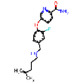 C=C(C)CCCNCc1ccc(Oc2ccc(C(N)=O)nc2)c(F)c1